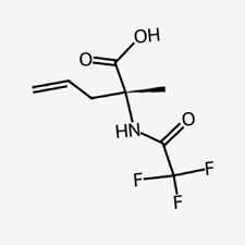 C=CC[C@@](C)(NC(=O)C(F)(F)F)C(=O)O